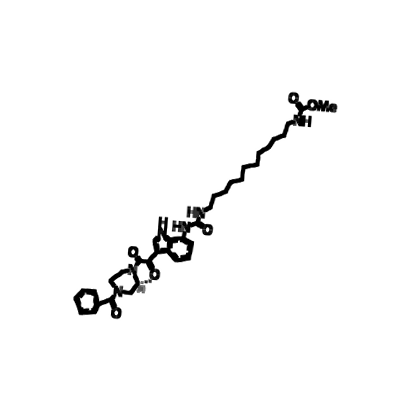 COC(=O)NCCCCCCCCCCCCNC(=O)Nc1cccc2c(C(=O)C(=O)N3CCN(C(=O)c4ccccc4)C[C@H]3C)c[nH]c12